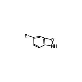 Brc1ccc2[nH]oc2c1